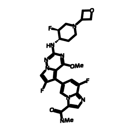 CNC(=O)c1cnc2c(F)cc(-c3c(F)cn4nc(N[C@H]5CCN(C6COC6)C[C@@H]5F)nc(OC)c34)cn12